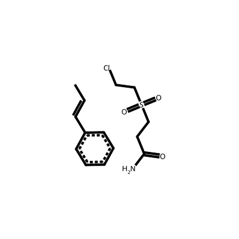 CC=Cc1ccccc1.NC(=O)CCS(=O)(=O)CCCl